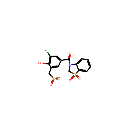 O=C(c1cc(Cl)c(O)c(C[SH](=O)=O)c1)N1CS(=O)(=O)c2ccccc21